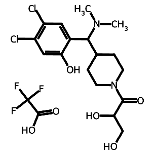 CN(C)C(c1cc(Cl)c(Cl)cc1O)C1CCN(C(=O)C(O)CO)CC1.O=C(O)C(F)(F)F